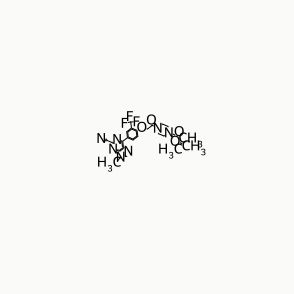 Cn1cnc2c(-c3ccc(OCC(=O)N4CCN(C(=O)OC(C)(C)C)CC4)c(C(F)(F)F)c3)nc(C#N)nc21